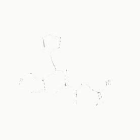 CC(OC(N)=O)C(=O)OC(c1ccccc1)c1ccccc1